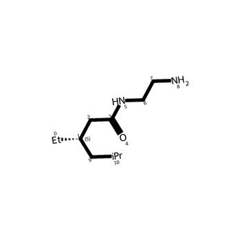 CC[C@H](CC(=O)NCCN)CC(C)C